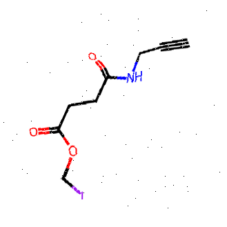 C#CCNC(=O)CCC(=O)OCI